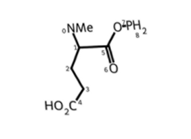 CNC(CCC(=O)O)C(=O)OP